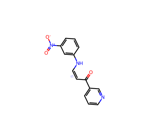 O=C(/C=C\Nc1cccc([N+](=O)[O-])c1)c1cccnc1